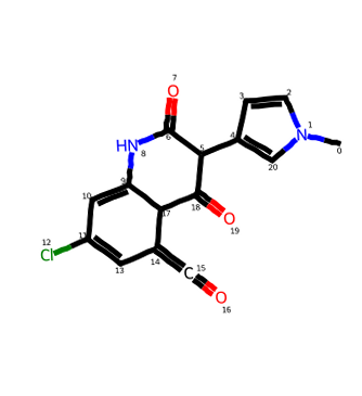 Cn1ccc(C2C(=O)NC3=CC(Cl)=CC(=C=O)C3C2=O)c1